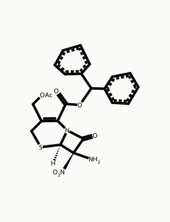 CC(=O)OCC1=C(C(=O)OC(c2ccccc2)c2ccccc2)N2C(=O)[C@@](N)([N+](=O)[O-])[C@H]2SC1